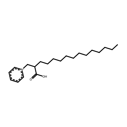 CCCCCCCCCCCCCC(C[n+]1ccccc1)C(=O)O